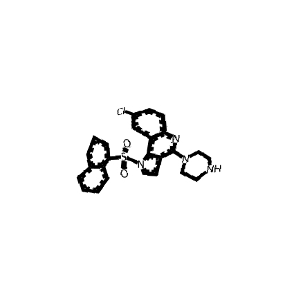 O=S(=O)(c1cccc2ccccc12)n1ccc2c(N3CCNCC3)nc3ccc(Cl)cc3c21